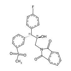 CS(=O)(=O)c1cccc([C@H](c2ccc(F)cc2)[C@@H](O)CN2C(=O)c3ccccc3C2=O)c1